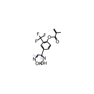 C=C(C)C(=O)Oc1ccc(C(/C=N\O)=N/O)cc1C(F)(F)F